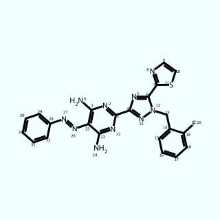 Nc1nc(-c2nc(-c3nccs3)n(Cc3ccccc3F)n2)nc(N)c1N=Nc1ccccc1